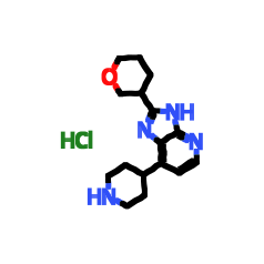 Cl.c1cc(C2CCNCC2)c2nc(C3CCCOC3)[nH]c2n1